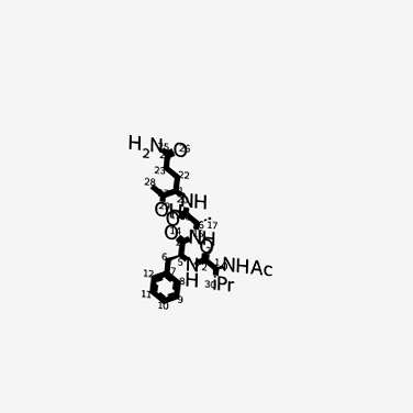 CC(=O)N[C@H](C(=O)N[C@@H](Cc1ccccc1)C(=O)N[C@@H](C)C(=O)NC(CCC(N)=O)C(C)O)C(C)C